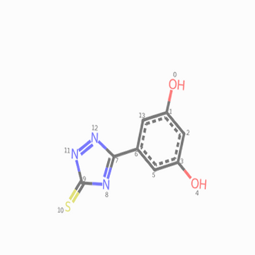 Oc1cc(O)cc(C2=NC(=S)N=N2)c1